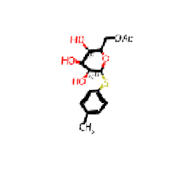 CC(=O)OCC1O[C@@H](Sc2ccc(C)cc2)[C@@H](O)C(O)[C@H]1O